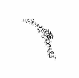 C=CC(=O)OCCSc1ccc(CC(C)(O)C(=O)C(C)(O)Cc2ccc(SCCOC(=O)C=C)cc2)cc1